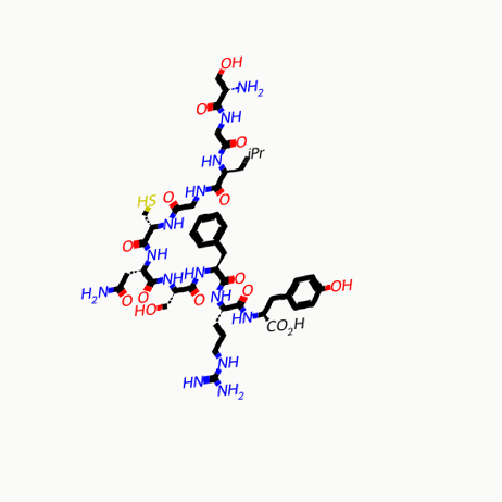 CC(C)C[C@H](NC(=O)CNC(=O)[C@@H](N)CO)C(=O)NCC(=O)N[C@@H](CS)C(=O)N[C@@H](CC(N)=O)C(=O)N[C@@H](CO)C(=O)N[C@@H](Cc1ccccc1)C(=O)N[C@@H](CCCNC(=N)N)C(=O)N[C@@H](Cc1ccc(O)cc1)C(=O)O